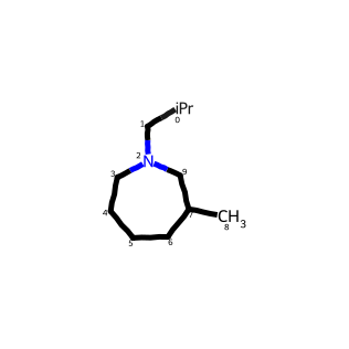 CC(C)CN1CCCCC(C)C1